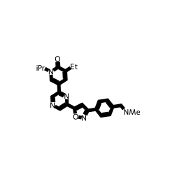 CCc1cc(-c2cncc(-c3cc(-c4ccc(CNC)cc4)no3)n2)cn(C(C)C)c1=O